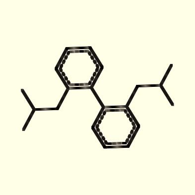 CC(C)Cc1ccccc1-c1ccccc1CC(C)C